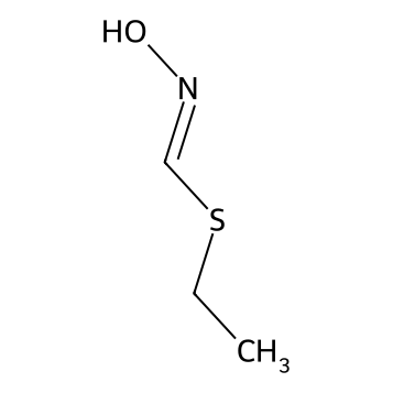 CCSC=NO